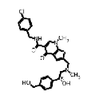 CN(Cc1cc2c(=O)c(C(=O)NCc3ccc(Cl)cc3)cn(C)c2s1)C[C@H](O)c1ccc(CO)cc1